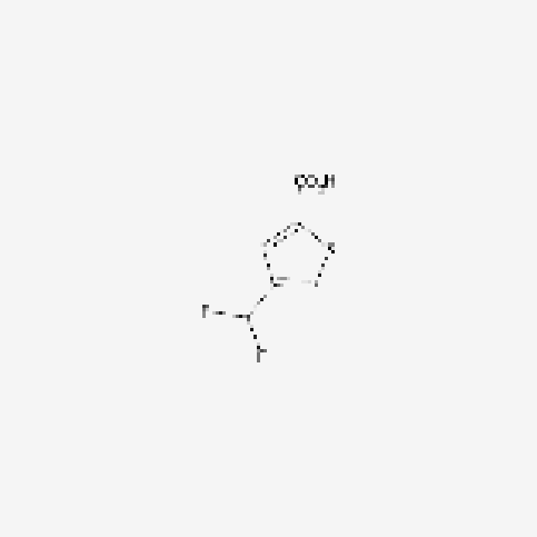 O=C(O)c1cc(C(F)F)cs1